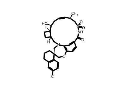 C[C@@H]1C=CC[C@H](O)[C@@H]2CC[C@H]2CN2C[C@@]3(CCCc4cc(Cl)ccc43)COc3ccc(cc32)C(=O)NS(=O)(=O)C1